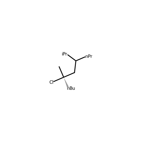 CCCC[C@@](C)(Cl)CC(CCC)C(C)C